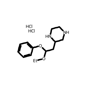 CCOC(CC1CNCCN1)Oc1ccccc1.Cl.Cl